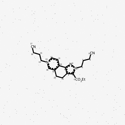 CCOC(=O)c1c2c(nn1CCCC#N)-c1cc[n+](CCCC#N)cc1CC2